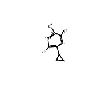 CC(C)c1cc(C2CC2)c(F)nc1Br